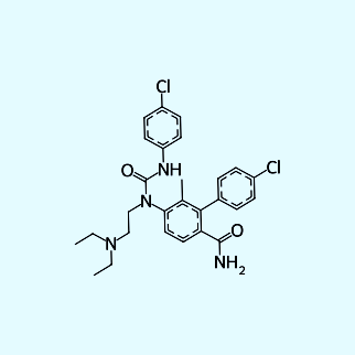 CCN(CC)CCN(C(=O)Nc1ccc(Cl)cc1)c1ccc(C(N)=O)c(-c2ccc(Cl)cc2)c1C